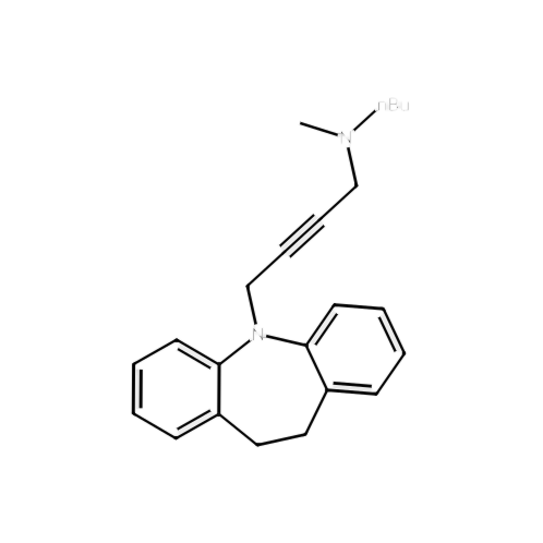 CCCCN(C)CC#CCN1c2ccccc2CCc2ccccc21